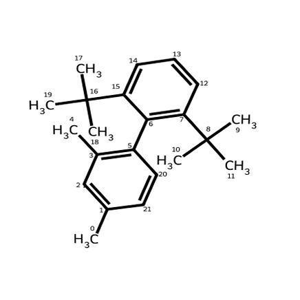 Cc1[c]c(C)c(-c2c(C(C)(C)C)cccc2C(C)(C)C)cc1